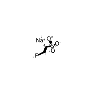 O=S(=O)([O-])C=CF.[Na+]